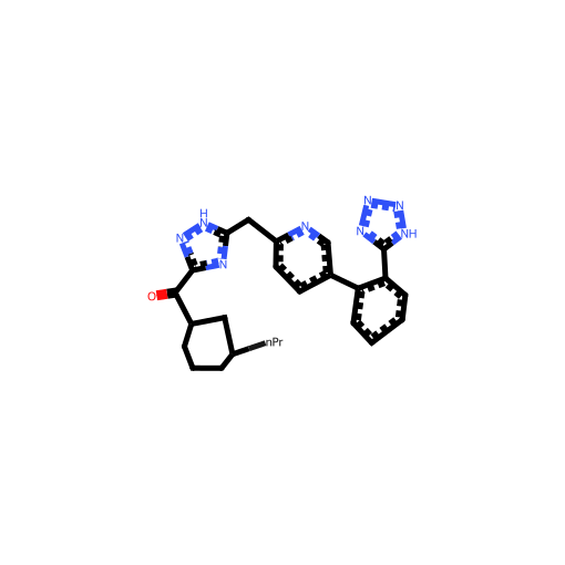 CCCC1CCCC(C(=O)c2n[nH]c(Cc3ccc(-c4ccccc4-c4nnn[nH]4)cn3)n2)C1